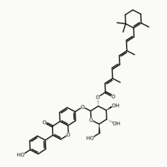 CC1=C(/C=C/C(C)=C/C=C/C(C)=C/C(=O)O[C@H]2C(Oc3ccc4c(=O)c(-c5ccc(O)cc5)coc4c3)O[C@H](CO)[C@@H](O)[C@@H]2O)C(C)(C)CCC1